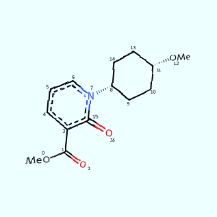 COC(=O)c1cccn([C@H]2CC[C@@H](OC)CC2)c1=O